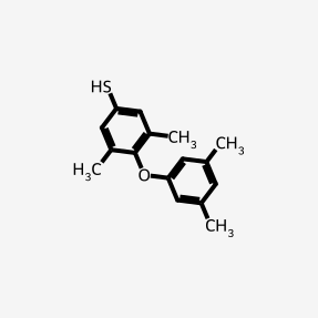 Cc1cc(C)cc(Oc2c(C)cc(S)cc2C)c1